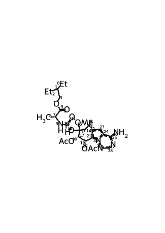 CCC(CC)COC(=O)[C@H](C)N[PH](=O)O[C@@](CF)(OC)[C@@H](OC(C)=O)[C@@H](OC(C)=O)c1ccc2c(N)ncnn12